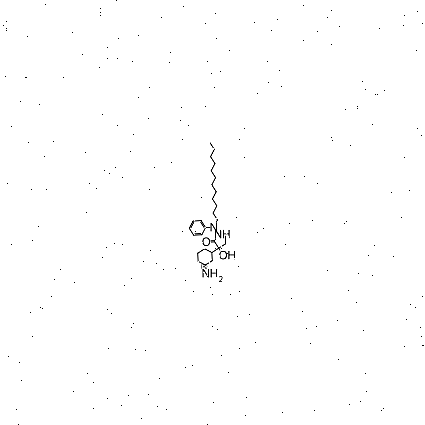 CCCCCCCCCCCCN(NC(=O)C(O)(CC)C1CCC[C@@H](N)C1)c1ccccc1